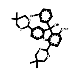 COc1ccc(C2OCC(C)(C)CO2)cc1C(O)(c1cccc(Br)c1)c1cc(C2OCC(C)(C)CO2)ccc1OC